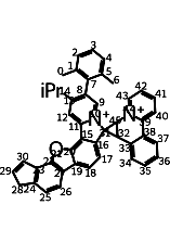 Cc1cccc(C)c1-c1c[n+]2c(cc1C(C)C)-c1c(ccc3c1oc1c4c(ccc13)CC=C4)C21C2c3ccccc3-c3cccc[n+]3C21